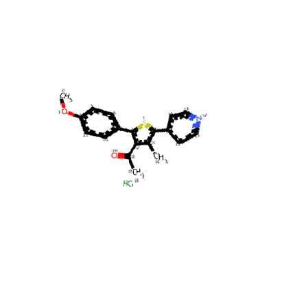 COc1ccc(-c2sc(-c3ccncc3)c(C)c2C(C)=O)cc1.Cl